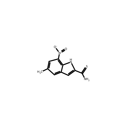 Cc1cc([N+](=O)[O-])c2[nH]c(C(N)=S)cc2c1